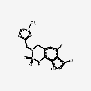 Cn1cnc(CN2Cc3cc(Cl)c4c(Cl)c[nH]c4c3NS2(=O)=O)n1